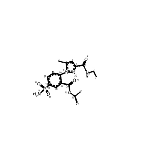 CCNC(=O)c1cc(C)n(-c2ccc(S(N)(=O)=O)cc2C(=O)OC(C)C)n1